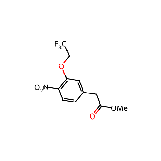 COC(=O)Cc1ccc([N+](=O)[O-])c(OCC(F)(F)F)c1